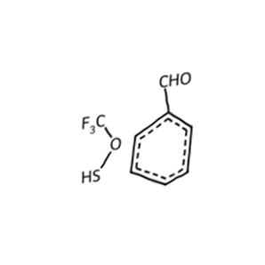 FC(F)(F)OS.O=Cc1ccccc1